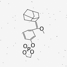 COC(=C1C2CC3CC(C2)CC1C3)c1cccc(OP2(=O)OCCO2)c1